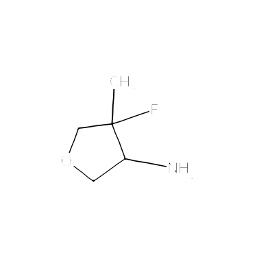 CC1(F)COCC1N